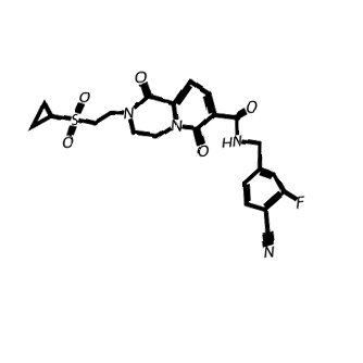 N#Cc1ccc(CNC(=O)c2ccc3n(c2=O)CCN(CCS(=O)(=O)C2CC2)C3=O)cc1F